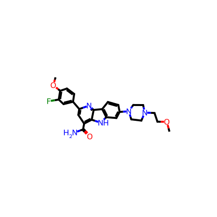 COCCN1CCN(c2ccc3c(c2)[nH]c2c(C(N)=O)cc(-c4ccc(OC)c(F)c4)nc23)CC1